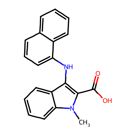 Cn1c(C(=O)O)c(Nc2cccc3ccccc23)c2ccccc21